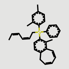 C/C=C\C=C/CS(c1ccccc1)(c1ccc(C)cc1C)c1ccc2c(c1C)C=CC=CC2